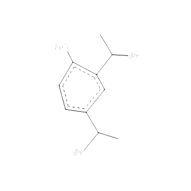 CC(C)C(C)c1ccc(O)c(C(C)C(C)C)c1